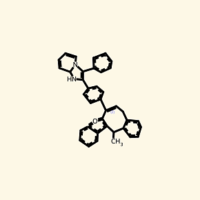 CC1c2ccccc2C/C=C(/c2ccc(C3=C(c4ccccc4)N4C=CC=CC4N3)cc2)c2oc3ccccc3c21